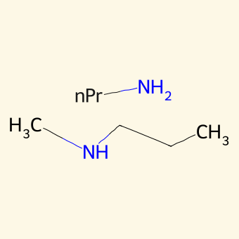 CCCN.CCCNC